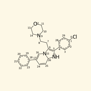 Clc1ccc(C2=C(CCN3CCOCC3)N3C=C(c4ccccc4)C=CC3N2)cc1